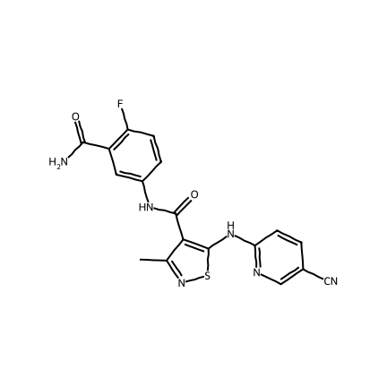 Cc1nsc(Nc2ccc(C#N)cn2)c1C(=O)Nc1ccc(F)c(C(N)=O)c1